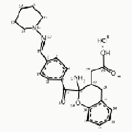 Cl.NC1(C(=O)c2ccc(C=NN3CCCCC3)cc2)Oc2ccccc2CC1CC(=O)O